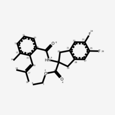 CCOC(=O)C1(NC(=O)c2cccc(C)c2C=C(C)C)Cc2cc(F)c(F)cc2C1